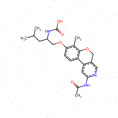 CC(=O)Nc1cc2c(cn1)COc1c-2ccc(OCC(CC(C)C)NC(=O)O)c1C